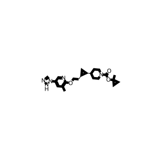 Cc1cc(-n2cn[nH]2)cnc1OCC[C@@H]1C[C@@H]1C1CCN(C(=O)OC2(C)CC2)CC1